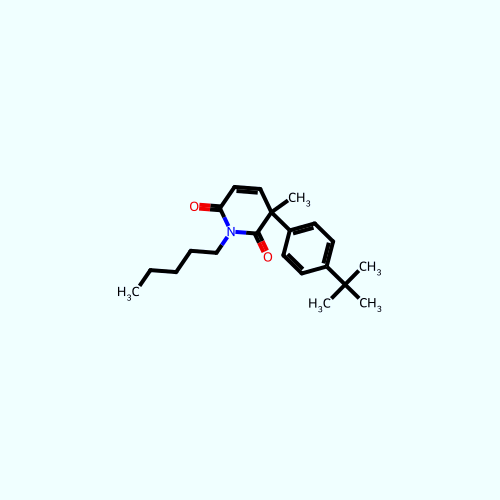 CCCCCN1C(=O)C=CC(C)(c2ccc(C(C)(C)C)cc2)C1=O